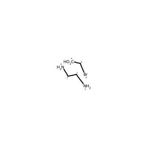 NCCN.O=C(O)CBr